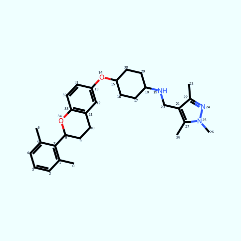 Cc1cccc(C)c1C1CCc2cc(OC3CCC(NCc4c(C)nn(C)c4C)CC3)ccc2O1